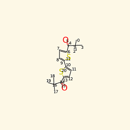 CC(C)(C)C(=O)c1ccc(-c2ccc(C(=O)C(C)(C)C)s2)s1